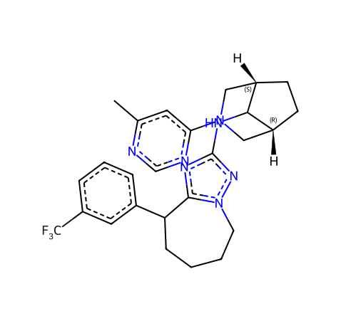 Cc1cc(N2C[C@H]3CC[C@@H](C2)C3Nc2nc3n(n2)CCCCC3c2cccc(C(F)(F)F)c2)ncn1